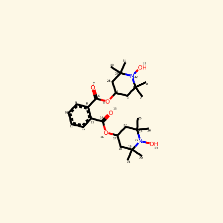 CC1(C)CC(OC(=O)c2ccccc2C(=O)OC2CC(C)(C)N(O)C(C)(C)C2)CC(C)(C)N1O